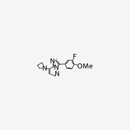 COc1ccc(-c2[c]nc3c(N4CCC4)ccnn23)cc1F